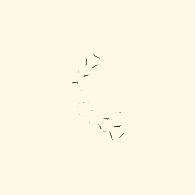 CN(C)c1nc(N[C@H]2CC[C@@H](CNC(=O)c3cc4ccccc4[nH]3)CC2)nc2ccccc12